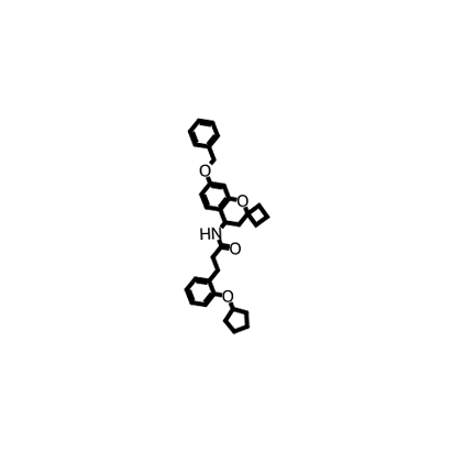 O=C(CCc1ccccc1OC1CCCC1)NC1CC2(CCC2)Oc2cc(OCc3ccccc3)ccc21